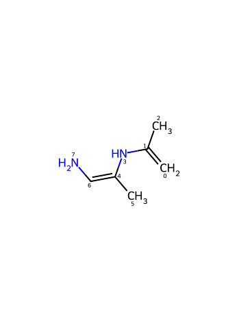 C=C(C)N/C(C)=C\N